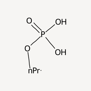 CC[CH]OP(=O)(O)O